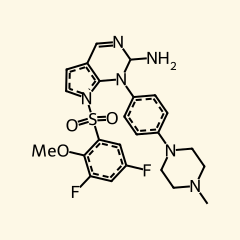 COc1c(F)cc(F)cc1S(=O)(=O)n1ccc2c1N(c1ccc(N3CCN(C)CC3)cc1)C(N)N=C2